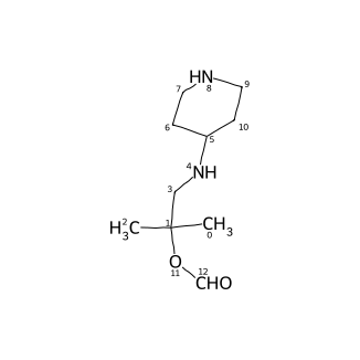 CC(C)(CNC1CCNCC1)OC=O